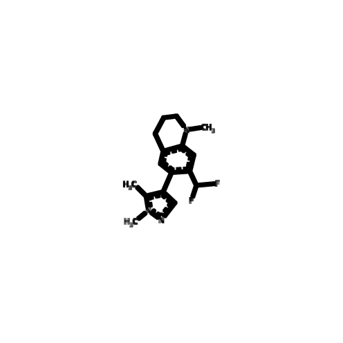 Cc1c(-c2cc3c(cc2C(F)F)N(C)CCC3)cnn1C